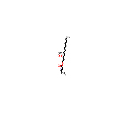 C/C=C/C(=O)OCCCCCCCCCC[CH2][Na].O=S(=O)(O)O